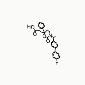 C[C@@H](c1ccc(-c2ccc(F)cc2)cc1)N1CCC(CCC(=O)O)(c2ccccc2)OC1=O